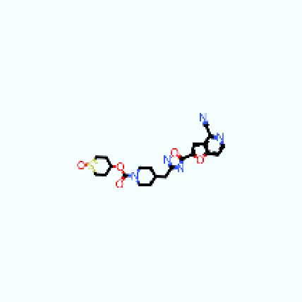 N#Cc1nccc2oc(-c3nc(CC4CCN(C(=O)OC5CC[S+]([O-])CC5)CC4)no3)cc12